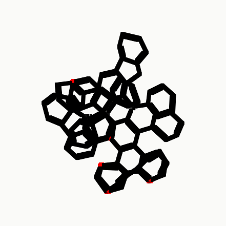 c1ccc(-c2ccccc2-c2c(-c3ccccc3-c3ccccc3)c(-c3cccc4c3[nH]c3ccccc34)c([Si](c3ccccc3)(c3ccccc3)c3ccccc3)c(N(c3ccccc3)c3c4c(cc(-c5ccccc5)c3-c3ccccc3)-c3ccccc3C4)c2-c2ccccc2)cc1